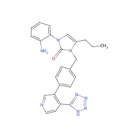 CCCc1cn(-c2ccccc2N)c(=O)n1Cc1ccc(-c2cnccc2-c2nnn[nH]2)cc1